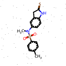 Cc1ccc(S(=O)(=O)N(C)c2ccc3c(c2)CC(=S)N3)cc1